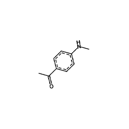 CNc1ccc(C(C)=O)cc1